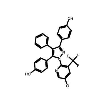 Oc1ccc(-c2nn(-c3ncc(Cl)cc3C(F)(F)F)c(-c3ccc(O)cc3)c2-c2ccccc2)cc1